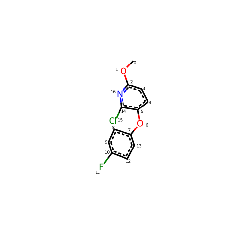 COc1ccc(Oc2ccc(F)cc2)c(Cl)n1